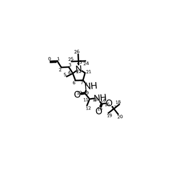 C=CCCC1(C)CC(NC(=O)C(C)NC(=O)OC(C)(C)C)CN1C(C)(C)C